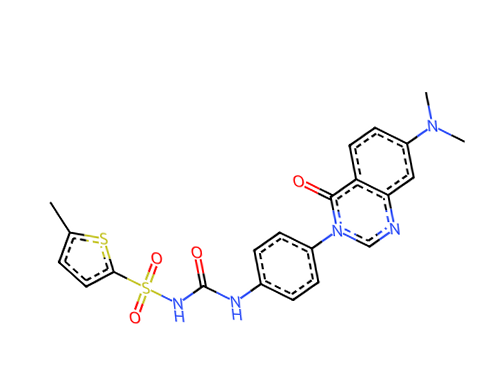 Cc1ccc(S(=O)(=O)NC(=O)Nc2ccc(-n3cnc4cc(N(C)C)ccc4c3=O)cc2)s1